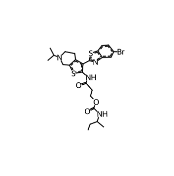 CCC(C)NC(=O)OCCC(=O)Nc1sc2c(c1-c1nc3cc(Br)ccc3s1)CCN(C(C)C)C2